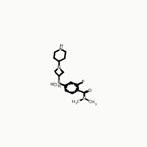 CN(C)C(=O)c1ccc(NC2CN(C3CCNCC3)C2)cc1F.Cl